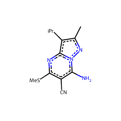 CSc1nc2c(C(C)C)c(C)nn2c(N)c1C#N